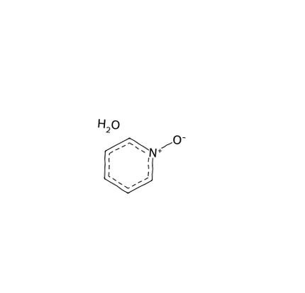 O.[O-][n+]1ccccc1